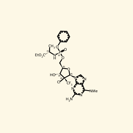 CCOC(=O)[C@H](C)N[P@@](=O)(OC[C@H]1O[C@@H](n2cnc3c(NC)nc(N)nc32)[C@@](Cl)(C(F)(F)F)[C@@H]1O)Oc1ccccc1